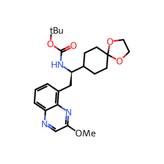 COc1cnc2cccc(C[C@@H](NC(=O)OC(C)(C)C)C3CCC4(CC3)OCCO4)c2n1